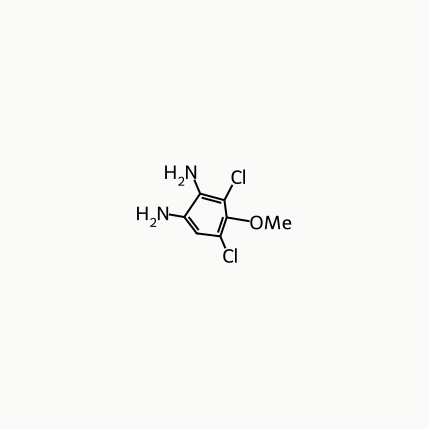 COc1c(Cl)cc(N)c(N)c1Cl